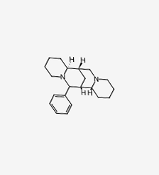 c1ccc(C2[C@@H]3C[C@@H](CN4CCCC[C@H]34)[C@@H]3CCCCN23)cc1